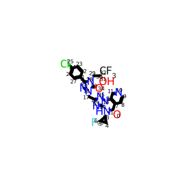 O=C(N[C@@H]1C[C@@H]1F)c1ccncc1-n1cnc(Cn2nc(-c3ccc(Cl)cc3)n(CC(O)C(F)(F)F)c2=O)n1